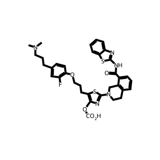 CN(C)CCCc1ccc(OCCCc2sc(N3CCc4cccc(C(=O)Nc5nc6ccccc6s5)c4C3)nc2OC(=O)O)c(F)c1